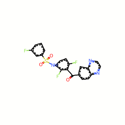 O=C(c1ccc2nccnc2c1)c1c(F)ccc(NS(=O)(=O)c2cccc(F)c2)c1F